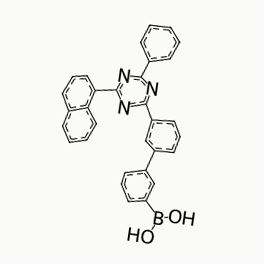 OB(O)c1cccc(-c2cccc(-c3nc(-c4ccccc4)nc(-c4cccc5ccccc45)n3)c2)c1